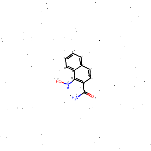 NC(=O)c1ccc2ccccc2c1NO